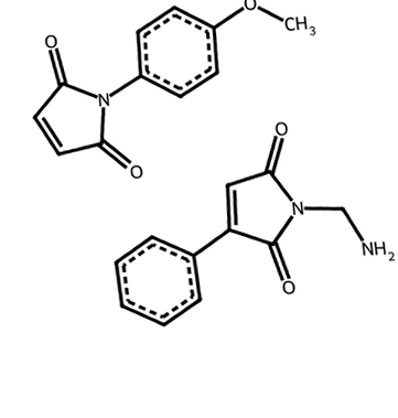 COc1ccc(N2C(=O)C=CC2=O)cc1.NCN1C(=O)C=C(c2ccccc2)C1=O